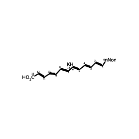 CCCCCCCCCC=CC=CC=CC=CC=CC=CC(=O)O.[KH]